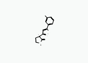 CN1CC[C@](O)(c2cc(-c3cccc(Br)c3)on2)C1=O